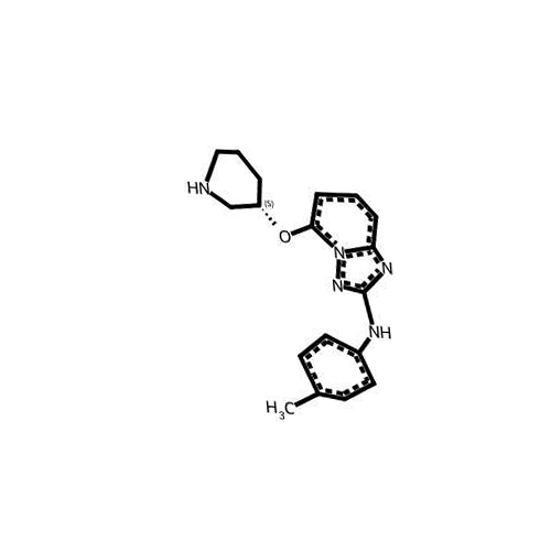 Cc1ccc(Nc2nc3cccc(O[C@H]4CCCNC4)n3n2)cc1